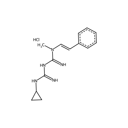 CN(C=Cc1ccccc1)C(=N)NC(=N)NC1CC1.Cl